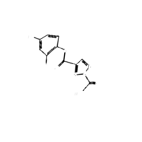 CC(=O)n1ncc(C(=O)Nc2ccc(C)cc2Cl)n1